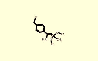 CCO[Si](C)(CC(C)c1ccc(CCl)cc1)OCC